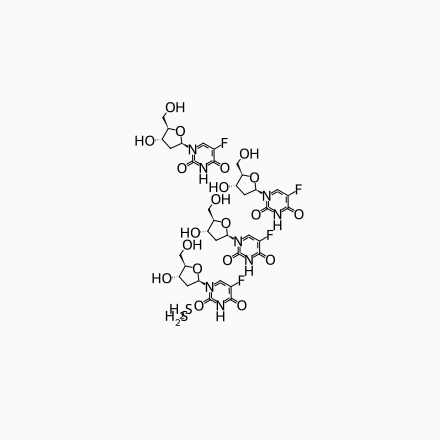 O=c1[nH]c(=O)n([C@H]2C[C@H](O)[C@@H](CO)O2)cc1F.O=c1[nH]c(=O)n([C@H]2C[C@H](O)[C@@H](CO)O2)cc1F.O=c1[nH]c(=O)n([C@H]2C[C@H](O)[C@@H](CO)O2)cc1F.O=c1[nH]c(=O)n([C@H]2C[C@H](O)[C@@H](CO)O2)cc1F.S.S